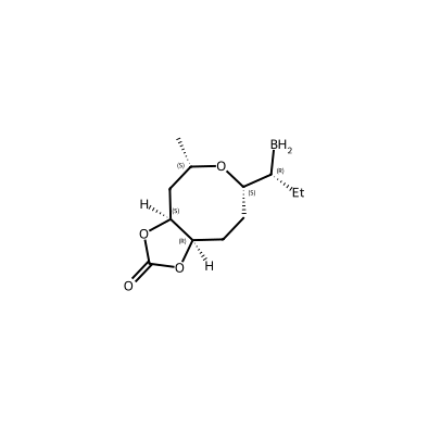 B[C@H](CC)[C@@H]1CC[C@H]2OC(=O)O[C@H]2C[C@H](C)O1